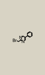 BrCc1ncc(-c2ccccc2)cn1